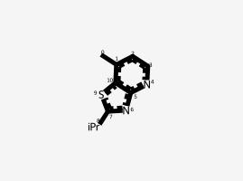 Cc1ccnc2nc(C(C)C)sc12